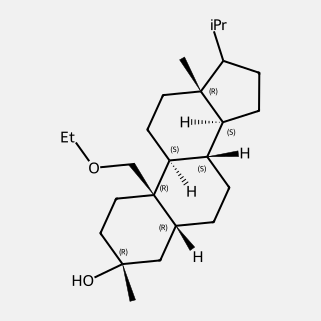 CCOC[C@]12CC[C@@](C)(O)C[C@H]1CC[C@@H]1[C@@H]2CC[C@]2(C)C(C(C)C)CC[C@@H]12